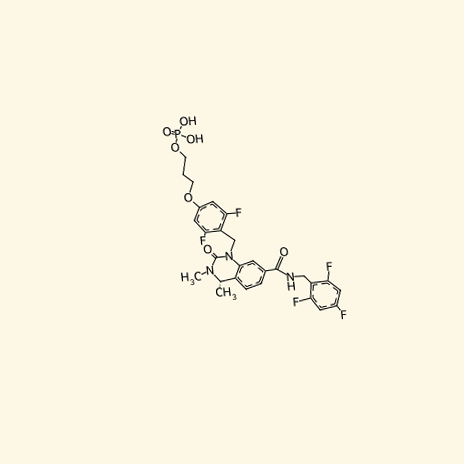 C[C@H]1c2ccc(C(=O)NCc3c(F)cc(F)cc3F)cc2N(Cc2c(F)cc(OCCCOP(=O)(O)O)cc2F)C(=O)N1C